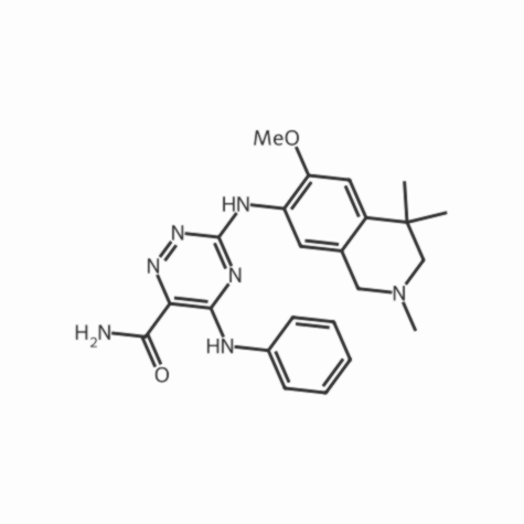 COc1cc2c(cc1Nc1nnc(C(N)=O)c(Nc3ccccc3)n1)CN(C)CC2(C)C